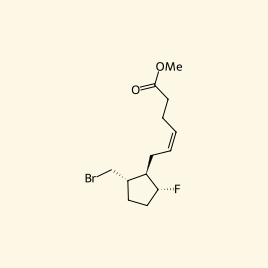 COC(=O)CC/C=C\C[C@@H]1[C@@H](CBr)CC[C@H]1F